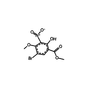 COC(=O)c1cc(Br)c(OC)c([N+](=O)[O-])c1O